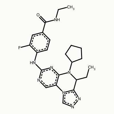 CCNC(=O)c1ccc(Nc2ncc3c(n2)N(C2CCCC2)C(CC)c2nncn2-3)c(F)c1